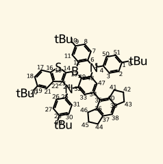 CC(C)(C)c1ccc(N2c3ccc(C(C)(C)C)cc3B3c4sc5ccc(C(C)(C)C)cc5c4N(c4ccc(C(C)(C)C)cc4)c4cc(-c5c6c(cc7c5CCC7)CCC6)cc2c43)cc1